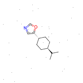 CC(C)[C@H]1CC[C@H](c2cnco2)CC1